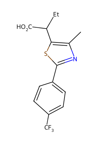 CCC(C(=O)O)c1sc(-c2ccc(C(F)(F)F)cc2)nc1C